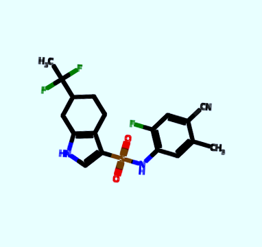 Cc1cc(NS(=O)(=O)c2c[nH]c3c2CCC(C(C)(F)F)C3)c(F)cc1C#N